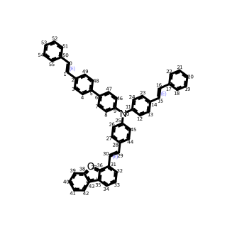 C(=C\c1ccc(-c2ccc(N(c3ccc(/C=C/c4ccccc4)cc3)c3ccc(/C=C/c4cccc5c4oc4ccccc45)cc3)cc2)cc1)/c1ccccc1